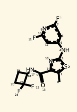 Cc1sc(Nc2cc(F)nc(F)c2)nc1C(=O)NC1CCC1(F)F